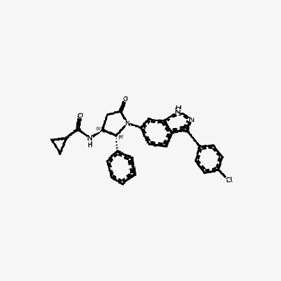 O=C(N[C@H]1CC(=O)N(c2ccc3c(-c4ccc(Cl)cc4)n[nH]c3c2)[C@@H]1c1ccccc1)C1CC1